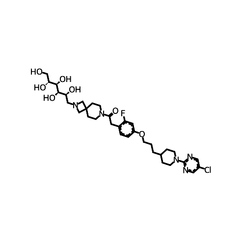 O=C(Cc1ccc(OCCCC2CCN(c3ncc(Cl)cn3)CC2)cc1F)N1CCC2(CC1)CN(C[C@H](O)[C@@H](O)[C@H](O)[C@H](O)CO)C2